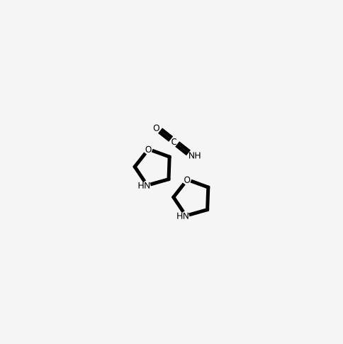 C1COCN1.C1COCN1.N=C=O